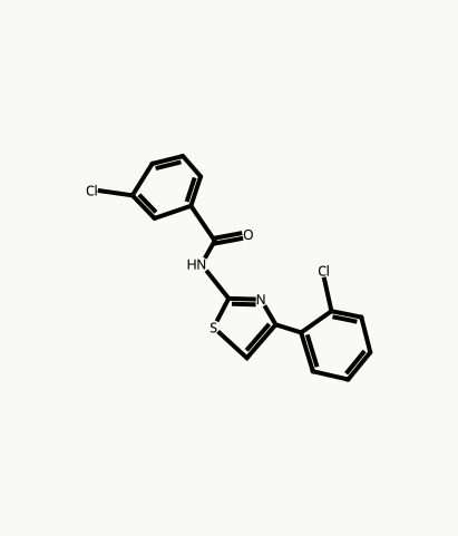 O=C(Nc1nc(-c2ccccc2Cl)cs1)c1cccc(Cl)c1